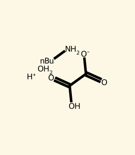 CCCCN.O.O=C([O-])C(=O)O.[H+]